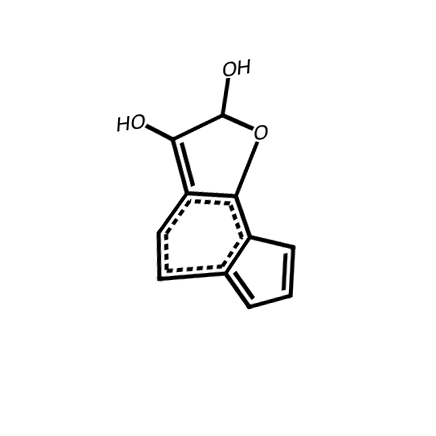 OC1=c2ccc3c(c2OC1O)C=CC=3